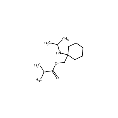 CC(C)NC1(COC(=O)N(C)C)CCCCC1